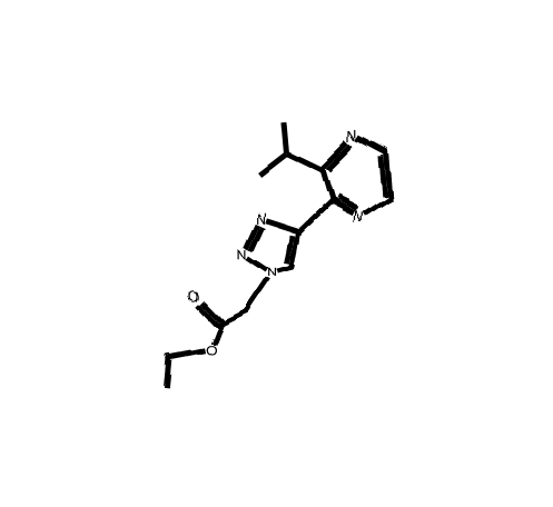 CCOC(=O)Cn1cc(-c2nccnc2C(C)C)nn1